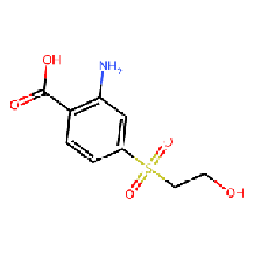 Nc1cc(S(=O)(=O)CCO)ccc1C(=O)O